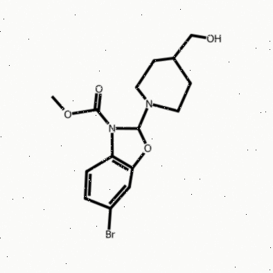 COC(=O)N1c2ccc(Br)cc2OC1N1CCC(CO)CC1